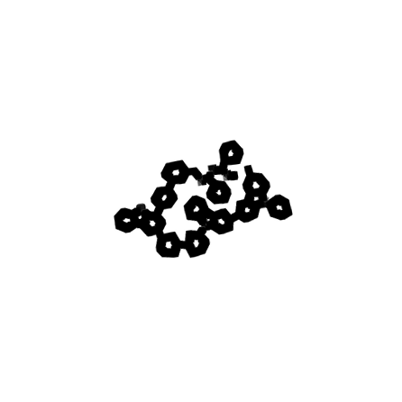 C=N/C(=N\C(=N/Cc1cccc(-c2ccc(-c3cc(-c4cccc(-c5cccc(-n6c7ccccc7c7cc(-c8ccc9c(c8)c8cc(C)ccc8n9-c8ccccc8)ccc76)c5)c4)cc4c3oc3ccccc34)cc2)c1)c1ccccc1)c1ccccc1